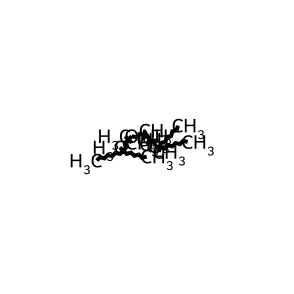 CCCCCCCC(C)(C=CC(C)(C)OCCC(C)(C)NC(=O)COC(C)(CCCCCCC)CCCCCCC)CCCCCC